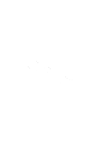 CCCCC(CC(=O)NO)C(=O)N1CC2(CC2)C[C@H]1C(=O)Nc1ncco1